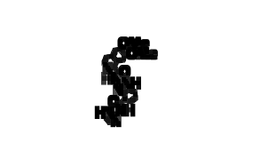 COc1cc2ccnc(C(=O)Nc3nc4c(C(=O)Nc5ncc[nH]5)cccc4[nH]3)c2cc1OC